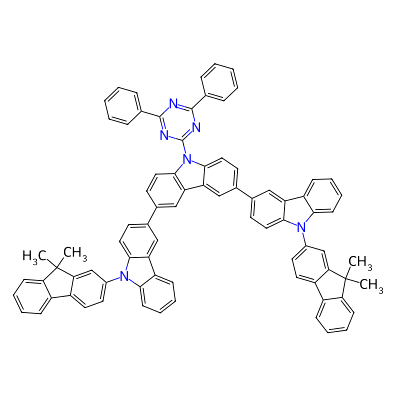 CC1(C)c2ccccc2-c2ccc(-n3c4ccccc4c4cc(-c5ccc6c(c5)c5cc(-c7ccc8c(c7)c7ccccc7n8-c7ccc8c(c7)C(C)(C)c7ccccc7-8)ccc5n6-c5nc(-c6ccccc6)nc(-c6ccccc6)n5)ccc43)cc21